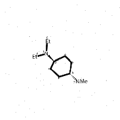 CCN(CC)[C@H]1CC[C@H](NC)CC1